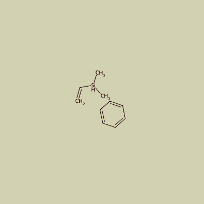 C=C[SiH](C)C.c1ccccc1